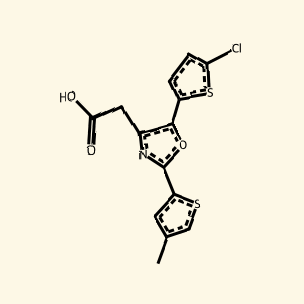 Cc1csc(-c2nc(CC(=O)O)c(-c3ccc(Cl)s3)o2)c1